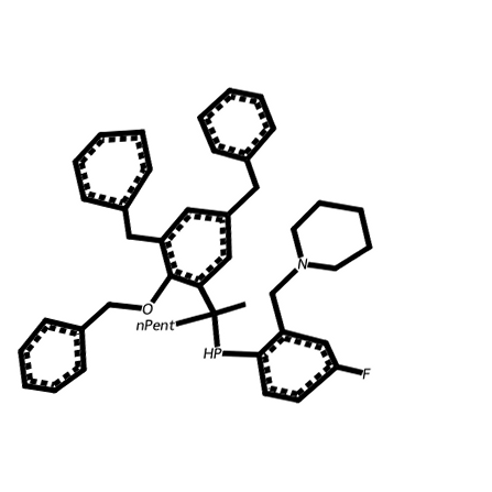 CCCCCC(C)(Pc1ccc(F)cc1CN1CCCCC1)c1cc(Cc2ccccc2)cc(Cc2ccccc2)c1OCc1ccccc1